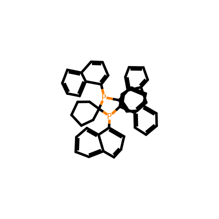 c1ccc2c(P(c3cccc4ccccc34)C3(P(c4cccc5ccccc45)c4cccc5ccccc45)CCCCC3)cccc2c1